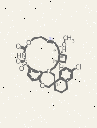 CO[C@H]1/C=C/CCOC(=O)NS(=O)(=O)c2ccc3c(c2)N(C[C@@H]2CC[C@H]21)C[C@@]1(CCCc2cc(Cl)ccc21)CO3